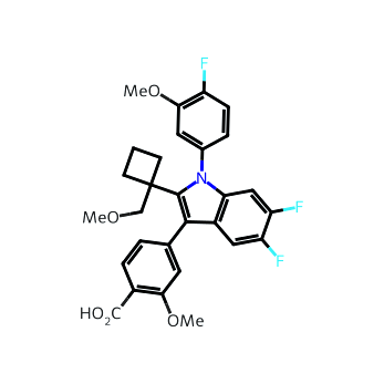 COCC1(c2c(-c3ccc(C(=O)O)c(OC)c3)c3cc(F)c(F)cc3n2-c2ccc(F)c(OC)c2)CCC1